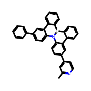 Cc1cc(-c2ccc3c(c2)-c2ccccc2B2c4ccccc4-c4cc(-c5ccccc5)ccc4N23)ccn1